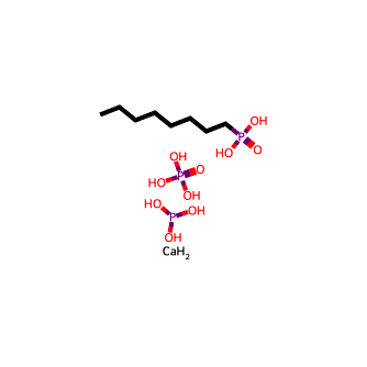 CCCCCCCCP(=O)(O)O.O=P(O)(O)O.OP(O)O.[CaH2]